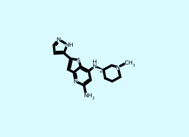 CN1CCC[C@@H](Nc2cc(N)nc3cc(-c4ccn[nH]4)sc23)C1